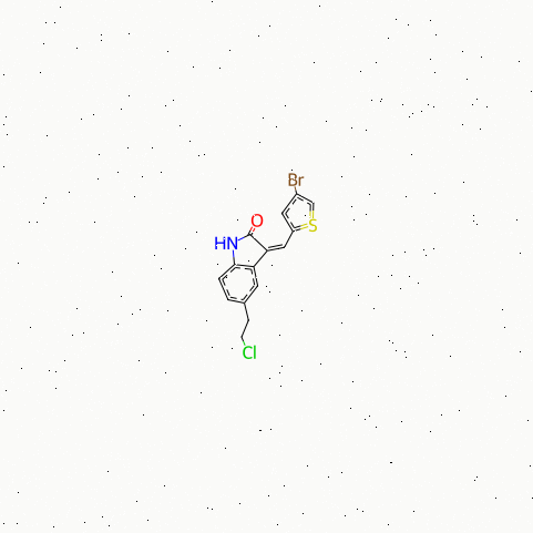 O=C1Nc2ccc(CCCl)cc2C1=Cc1cc(Br)cs1